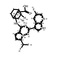 O=C(O)[C@H]1C2CCC(CC2)[C@@H]1Nc1nc(-c2c[nH]c3ncc(F)cc23)nn2c(C(F)F)ccc12